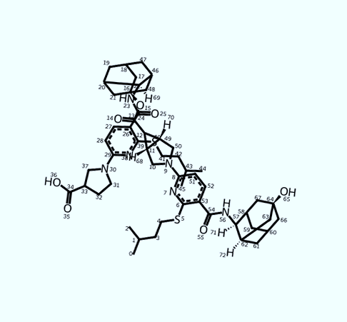 CC(C)CCSc1nc(N2C[C@@H]3C(C(=O)O[C@]45CC6CC(C4)[C@H](NC(=O)c4ccc(N7CCC(C(=O)O)C7)nc4SCCC(C)C)C(C6)C5)[C@@H]3C2)ccc1C(=O)N[C@H]1C2CC3C[C@@H]1C[C@@](O)(C3)C2